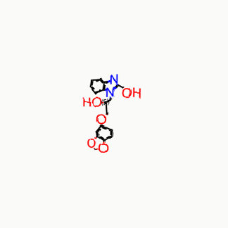 OCc1nc2ccccc2n1C[C@H](O)COc1ccc2c(c1)OCO2